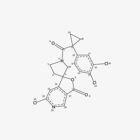 O=C1OC2(CCN(C(=O)C3(c4ccc(Cl)c(Cl)c4)CC3)C2)c2cc(Cl)ncc21